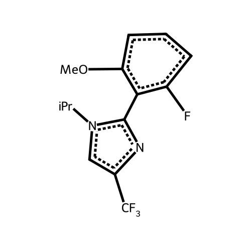 COc1cccc(F)c1-c1nc(C(F)(F)F)cn1C(C)C